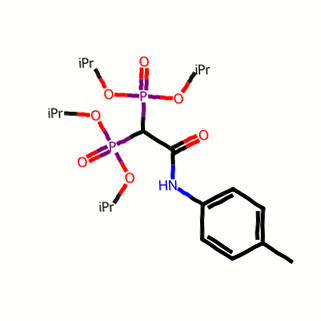 Cc1ccc(NC(=O)C(P(=O)(OC(C)C)OC(C)C)P(=O)(OC(C)C)OC(C)C)cc1